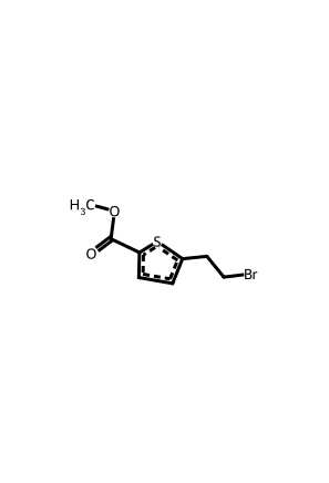 COC(=O)c1ccc(CCBr)s1